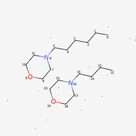 CCCCCCN1CCOCC1.CCCCN1CCOCC1